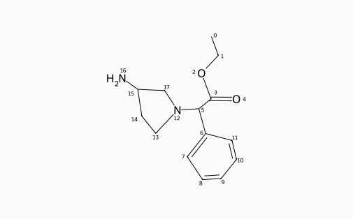 CCOC(=O)C(c1ccccc1)N1CCC(N)C1